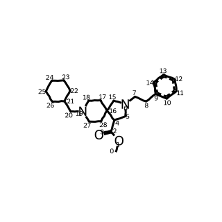 COC(=O)C1CN(CCc2ccccc2)CC12CCN(CC1CCCCC1)CC2